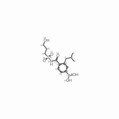 CC(C)Cc1cc(B(O)O)ccc1C(=O)NS(=O)(=O)CCCO